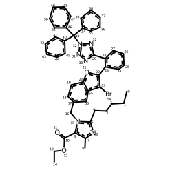 CCCCCc1nc(C)c(C(=O)OCC)n1Cc1ccc2oc(-c3ccccc3-c3nnn(C(c4ccccc4)(c4ccccc4)c4ccccc4)n3)c(Br)c2c1